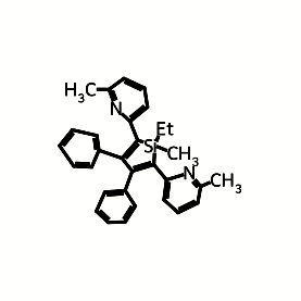 CC[Si]1(C)C(c2cccc(C)n2)=C(c2ccccc2)C(c2ccccc2)=C1c1cccc(C)n1